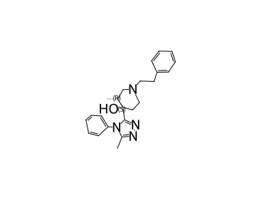 Cc1nnc([C@]2(O)CCN(CCc3ccccc3)C[C@H]2C)n1-c1ccccc1